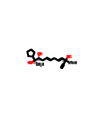 C#C[C@@](O)(C=CC/C=C/C[C@@H](O)[C@](O)(C(=O)O)C1CCCC1)CCCCC